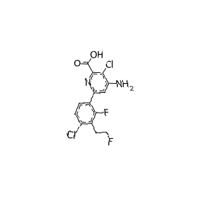 Nc1cc(-c2ccc(Cl)c(CCF)c2F)nc(C(=O)O)c1Cl